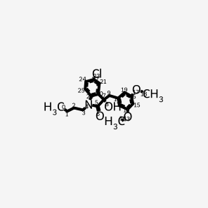 CCCCN1C(=O)C(O)(Cc2cc(OC)cc(OC)c2)c2cc(Cl)ccc21